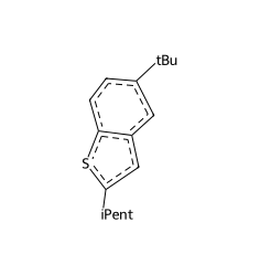 CCCC(C)c1cc2cc(C(C)(C)C)ccc2s1